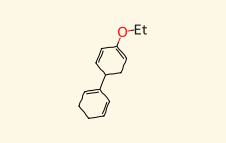 CCOC1=CCC(C2=CCCC=C2)C=C1